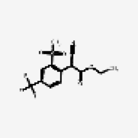 CCOC(=O)C(C#N)c1ccc(C(F)(F)F)cc1S(C)(=O)=O